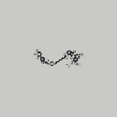 CCOc1cc(C(C[S+](C)[O-])N2C(=O)c3cccc(NC(=O)CCCCCCCN4CCN(CC(=O)Nc5ccc(C6CCC(=O)NC6=O)cc5)CC4)c3C2=O)ccc1OC